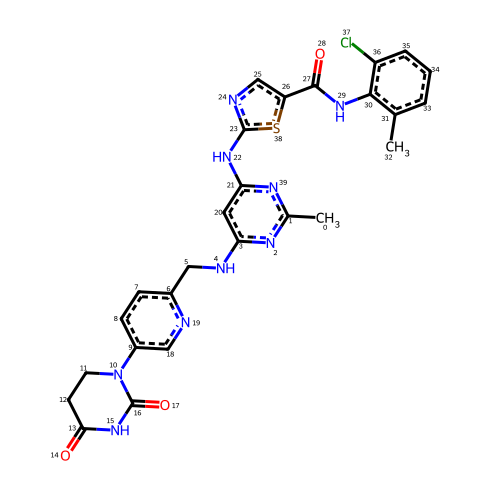 Cc1nc(NCc2ccc(N3CCC(=O)NC3=O)cn2)cc(Nc2ncc(C(=O)Nc3c(C)cccc3Cl)s2)n1